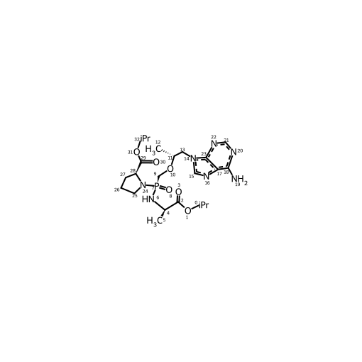 CC(C)OC(=O)[C@@H](C)N[P@](=O)(CO[C@H](C)Cn1cnc2c(N)ncnc21)N1CCC[C@H]1C(=O)OC(C)C